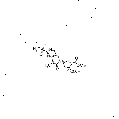 COC(=O)N1C[C@@H](N2Cc3cnc(S(C)(=O)=O)nc3N(C)C2=O)C[C@@H]1C(=O)O